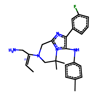 C/C=C(/CN)N1Cc2nc(-c3cccc(F)c3)c(Nc3ccc(C)cc3)n2C(C)(C)C1